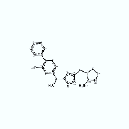 CC(c1ccc(-c2ccccc2)c(F)c1)c1cc(CN2CCN=C2N)no1